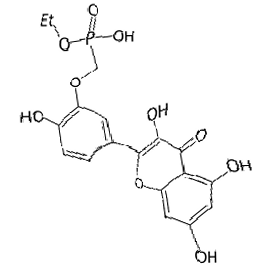 CCOP(=O)(O)COc1cc(-c2oc3cc(O)cc(O)c3c(=O)c2O)ccc1O